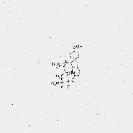 COC1CCC2(CC1)Cc1ccc(OC(F)(F)C(N)(F)F)cc1C2/N=C(/N)N(C)C=O